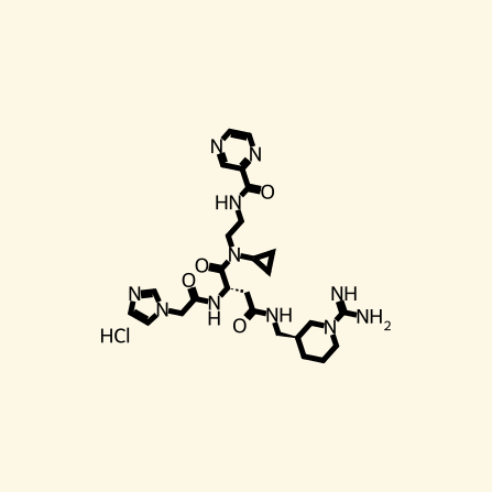 Cl.N=C(N)N1CCC[C@@H](CNC(=O)C[C@H](NC(=O)Cn2ccnc2)C(=O)N(CCNC(=O)c2cnccn2)C2CC2)C1